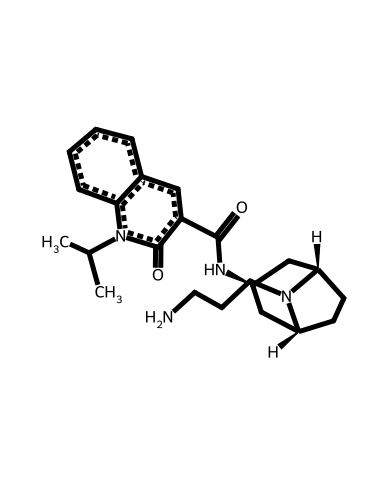 CC(C)n1c(=O)c(C(=O)N[C@@H]2C[C@H]3CC[C@@H](C2)N3CCCN)cc2ccccc21